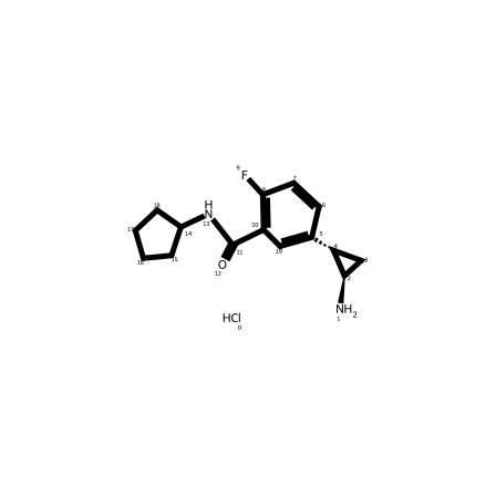 Cl.N[C@@H]1C[C@H]1c1ccc(F)c(C(=O)NC2CCCC2)c1